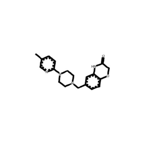 Cc1ccc(N2CCN(Cc3ccc4c(c3)NC(=O)CO4)CC2)nc1